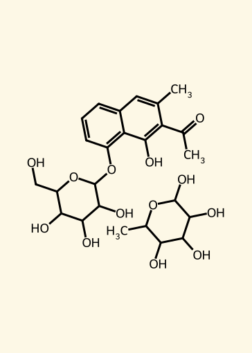 CC(=O)c1c(C)cc2cccc(OC3OC(CO)C(O)C(O)C3O)c2c1O.CC1OC(O)C(O)C(O)C1O